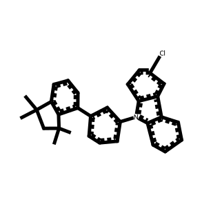 CC1(C)CC(C)(C)c2c(-c3cccc(-n4c5ccccc5c5cc(Cl)ccc54)c3)cccc21